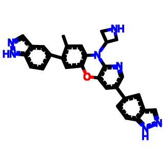 Cc1cc2c(cc1-c1ccc3[nH]ncc3c1)Oc1cc(-c3ccc4[nH]ncc4c3)cnc1N2C1CNC1